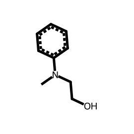 CN(CCO)c1ccccc1